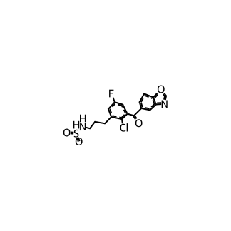 O=C(c1ccc2ocnc2c1)c1cc(F)cc(CCCN[SH](=O)=O)c1Cl